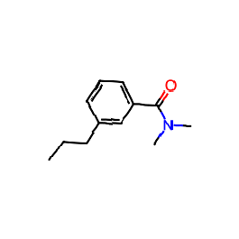 CCCc1cccc(C(=O)N(C)C)c1